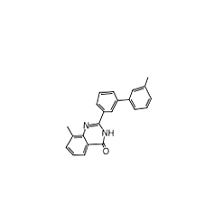 Cc1cccc(-c2cccc(-c3nc4c(C)cccc4c(=O)[nH]3)c2)c1